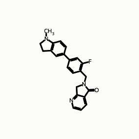 CN1CCc2cc(-c3ccc(CN4Cc5ncccc5C4=O)c(F)c3)ccc21